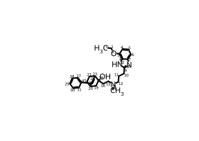 CCOc1cccc2nc(CCCN(C)CCC3(O)CC4CCC3C=C4c3ccccc3)[nH]c12